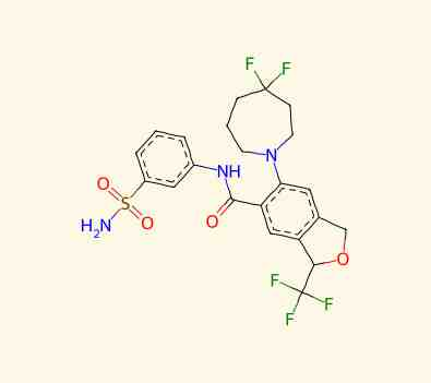 NS(=O)(=O)c1cccc(NC(=O)c2cc3c(cc2N2CCCC(F)(F)CC2)COC3C(F)(F)F)c1